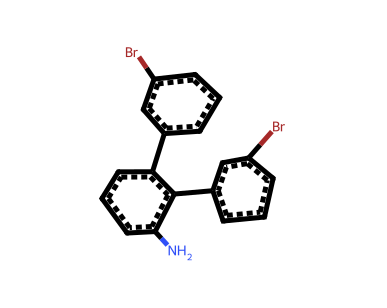 Nc1cccc(-c2cccc(Br)c2)c1-c1cccc(Br)c1